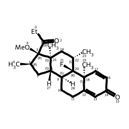 CCC(=O)[C@@]1(OC)[C@H](C)C[C@H]2[C@@H]3CCC4=CC(=O)C=C[C@]4(C)[C@@]3(F)[C@@H](C)C[C@@]21C